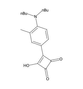 CCCCN(CCCC)c1ccc(-c2c(O)c(=O)c2=O)cc1C